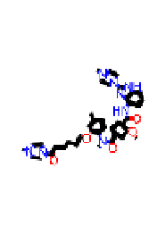 COc1cc(C(=O)N(C)c2ccc(C)cc2OCCCCCC(=O)N2CCN(C)CC2)ccc1C(=O)Nc1cccc2[nH]c(N3CCN(C)CC3)nc12